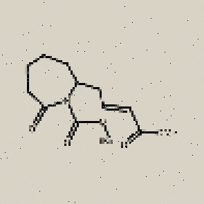 COC(=O)C=CCC1CCCCC(=O)N1C(=O)OC(C)(C)C